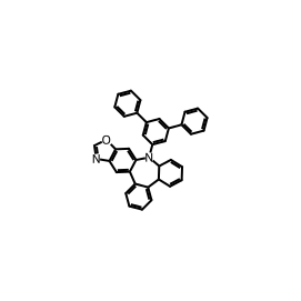 C1=CC2c3ccccc3-c3cc4ncoc4cc3N(c3cc(-c4ccccc4)cc(-c4ccccc4)c3)C2C=C1